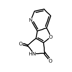 O=C1NC(=O)c2c1oc1cccnc21